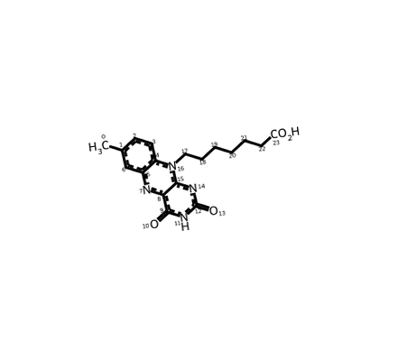 Cc1ccc2c(c1)nc1c(=O)[nH]c(=O)nc-1n2CCCCCCC(=O)O